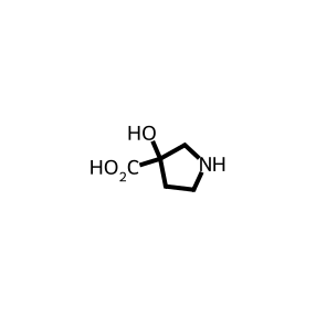 O=C(O)C1(O)CCNC1